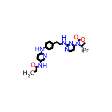 C=CC(=O)Nc1ccc(Nc2ccc(CCNc3nccc(N4C(=O)OC[C@@H]4C(C)C)n3)cc2)nc1